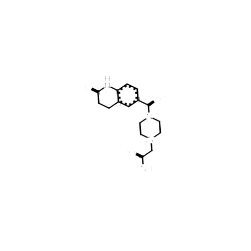 NC(=O)CN1CCN(C(=O)c2ccc3c(c2)CCC(=O)N3)CC1